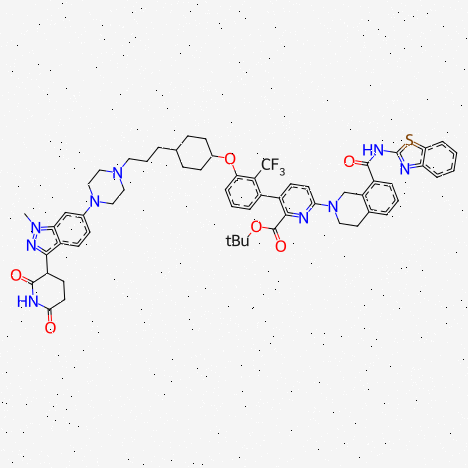 Cn1nc(C2CCC(=O)NC2=O)c2ccc(N3CCN(CCCC4CCC(Oc5cccc(-c6ccc(N7CCc8cccc(C(=O)Nc9nc%10ccccc%10s9)c8C7)nc6C(=O)OC(C)(C)C)c5C(F)(F)F)CC4)CC3)cc21